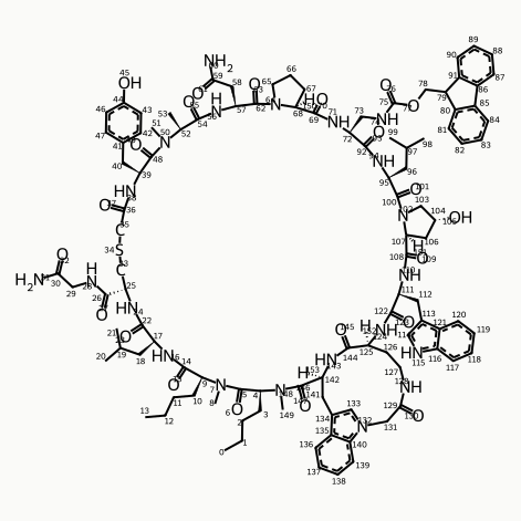 CCCC[C@H]1C(=O)N(C)[C@@H](CCCC)C(=O)N[C@@H](CC(C)C)C(=O)N[C@H](C(=O)NCC(N)=O)CSCC(=O)N[C@@H](Cc2ccc(O)cc2)C(=O)N(C)[C@@H](C)C(=O)N[C@@H](CC(N)=O)C(=O)N2CCC[C@H]2C(=O)N[C@@H](CNC(=O)OCC2c3ccccc3-c3ccccc32)C(=O)N[C@@H](CC(C)C)C(=O)N2C[C@H](O)C[C@H]2C(=O)N[C@@H](Cc2c[nH]c3ccccc23)C(=O)N[C@H]2CCNC(=O)Cn3cc(c4ccccc43)C[C@H](NC2=O)C(=O)N1C